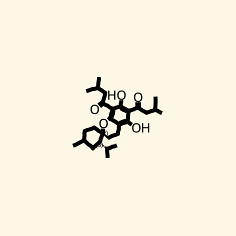 CC(C)CC(=O)c1c(O)c2c(c(C(=O)CC(C)C)c1O)O[C@@]1(CC2)CCC(C)C[C@H]1C(C)C